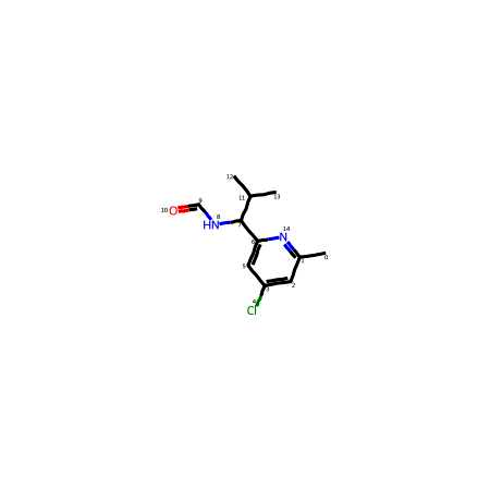 Cc1cc(Cl)cc(C(NC=O)C(C)C)n1